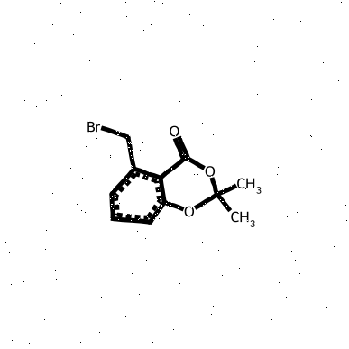 CC1(C)OC(=O)c2c(CBr)cccc2O1